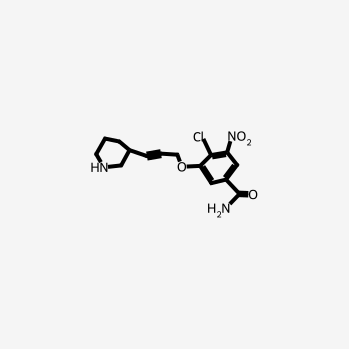 NC(=O)c1cc(OCC#CC2CCCNC2)c(Cl)c([N+](=O)[O-])c1